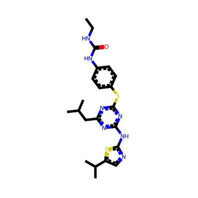 CCNC(=O)Nc1ccc(Sc2nc(CC(C)C)nc(Nc3ncc(C(C)C)s3)n2)cc1